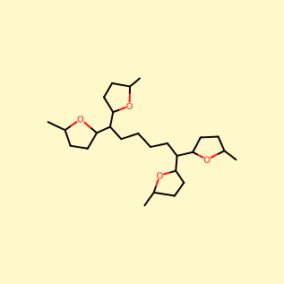 CC1CCC(C(CCCCC(C2CCC(C)O2)C2CCC(C)O2)C2CCC(C)O2)O1